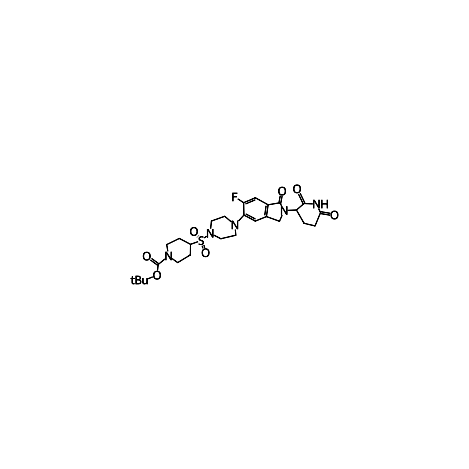 CC(C)(C)OC(=O)N1CCC(S(=O)(=O)N2CCN(c3cc4c(cc3F)C(=O)N(C3CCC(=O)NC3=O)C4)CC2)CC1